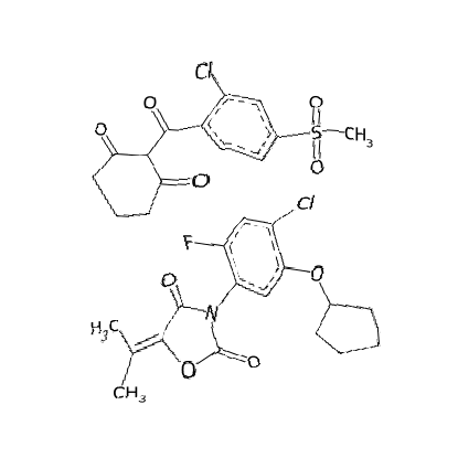 CC(C)=C1OC(=O)N(c2cc(OC3CCCC3)c(Cl)cc2F)C1=O.CS(=O)(=O)c1ccc(C(=O)C2C(=O)CCCC2=O)c(Cl)c1